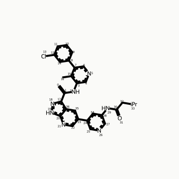 C=C(Nc1cncc(-c2cccc(Cl)c2)c1C)c1n[nH]c2ncc(-c3cncc(NC(=O)CC(C)C)c3)cc12